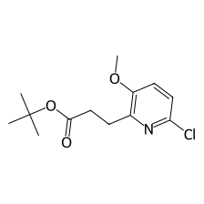 COc1ccc(Cl)nc1CCC(=O)OC(C)(C)C